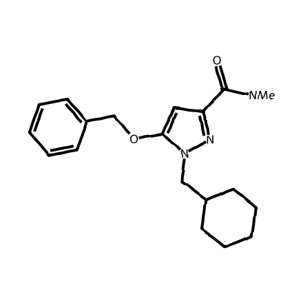 CNC(=O)c1cc(OCc2ccccc2)n(CC2CCCCC2)n1